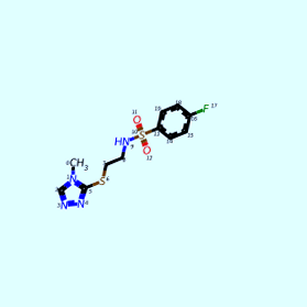 Cn1cnnc1SCCNS(=O)(=O)c1ccc(F)cc1